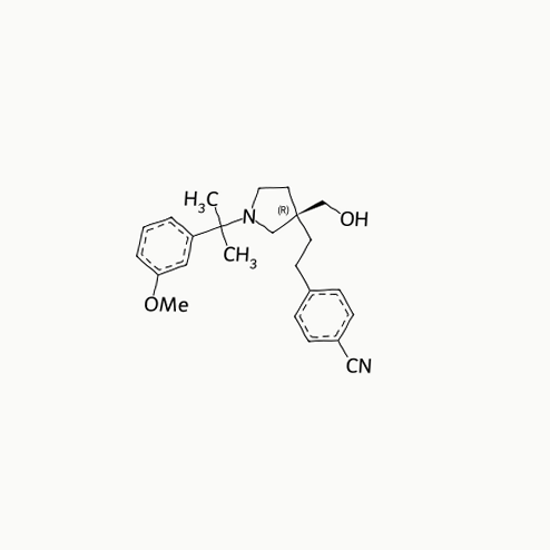 COc1cccc(C(C)(C)N2CC[C@](CO)(CCc3ccc(C#N)cc3)C2)c1